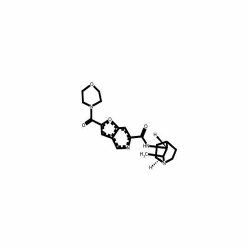 C[C@H]1[C@H](NC(=O)c2cc3oc(C(=O)N4CCOCC4)cc3cn2)C2CCN1CC2